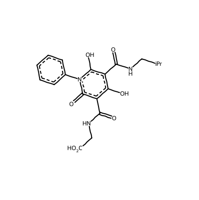 CC(C)CNC(=O)c1c(O)c(C(=O)NCC(=O)O)c(=O)n(-c2ccccc2)c1O